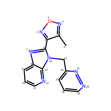 Cc1nonc1-c1nc2cccnc2n1Cc1cccnn1